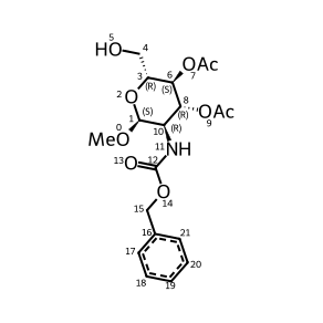 CO[C@H]1O[C@H](CO)[C@@H](OC(C)=O)[C@H](OC(C)=O)[C@H]1NC(=O)OCc1ccccc1